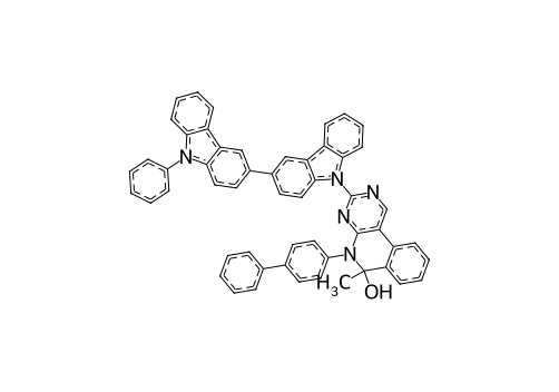 CC1(O)c2ccccc2-c2cnc(-n3c4ccccc4c4cc(-c5ccc6c(c5)c5ccccc5n6-c5ccccc5)ccc43)nc2N1c1ccc(-c2ccccc2)cc1